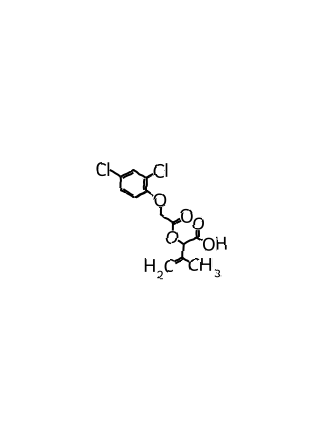 C=C(C)C(OC(=O)COc1ccc(Cl)cc1Cl)C(=O)O